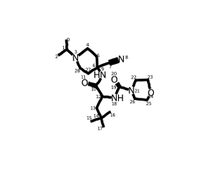 CC(C)N1CCC(C#N)(NC(=O)C(CC(C)(C)C)NC(=O)N2CCOCC2)CC1